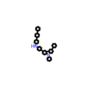 c1ccc(-c2ccc(-c3ccc(Nc4ccc(-c5ccc6c(c5)c5cc(-c7ccccc7)ccc5n6-c5ccccc5)cc4)cc3)cc2)cc1